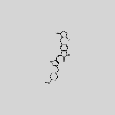 COC1CCN(Cc2c[nH]c(/C=C3\C(=O)Nc4ccc(CN5C(=O)CSC5=O)cc43)c2)CC1